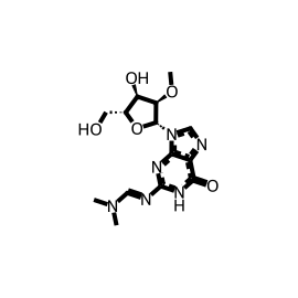 CO[C@@H]1[C@H](O)[C@@H](CO)O[C@H]1n1cnc2c(=O)[nH]c(N=CN(C)C)nc21